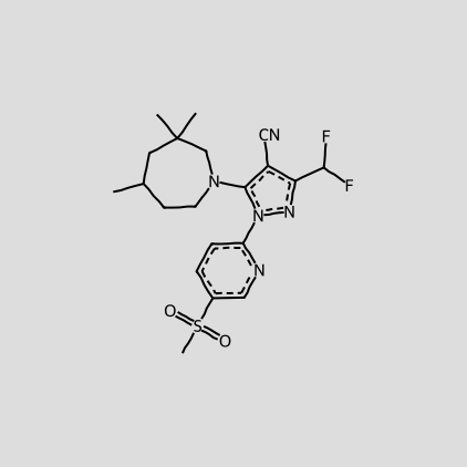 CC1CCN(c2c(C#N)c(C(F)F)nn2-c2ccc(S(C)(=O)=O)cn2)CC(C)(C)C1